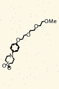 COCCOCCOCCOc1ccc(N2CCS(=O)(=O)CC2)cc1